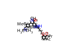 COc1cc(-c2cn(C)c(=O)c3c2CNC(NCCCCCOc2cccc(C(C)=O)c2C(=O)C(C)C)=C3)c(OC)cc1CN(C)C